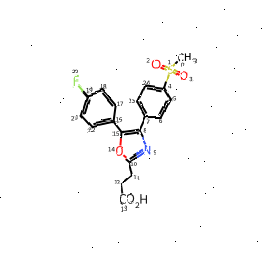 CS(=O)(=O)c1ccc(-c2nc(CCC(=O)O)oc2-c2ccc(F)cc2)cc1